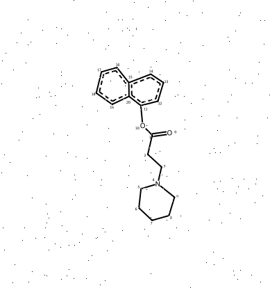 O=C(CCN1CCCCC1)Oc1cccc2ccccc12